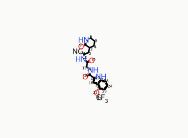 N#CC(CC1CCCNC1=O)NC(=O)CNC(=O)c1cc2c(OC(F)(F)F)cccc2[nH]1